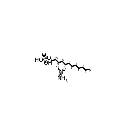 CCCCCCCCCCCCOP(=O)(O)O.CN(C)C.N